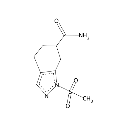 CS(=O)(=O)n1ncc2c1CC(C(N)=O)CC2